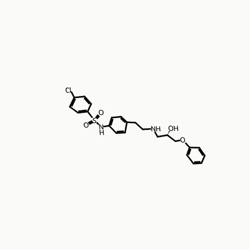 O=S(=O)(Nc1ccc(CCNC[C@H](O)COc2ccccc2)cc1)c1ccc(Cl)cc1